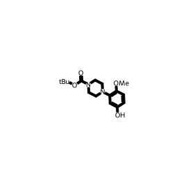 COc1ccc(O)cc1N1CCN(C(=O)OC(C)(C)C)CC1